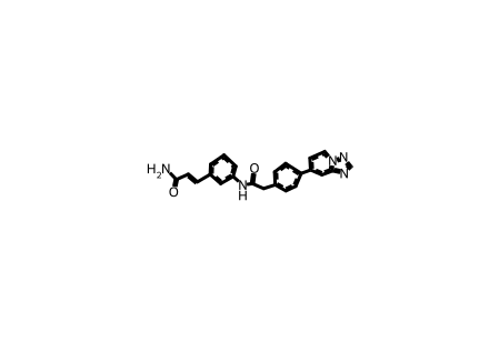 NC(=O)C=Cc1cccc(NC(=O)Cc2ccc(-c3ccn4ncnc4c3)cc2)c1